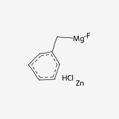 Cl.[F][Mg][CH2]c1ccccc1.[Zn]